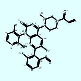 C=CC(=O)N1CCN(c2nc(=O)n(-c3c(C)ccnc3C(C)C)c3nc(-c4c(F)cccc4C=C)c(F)cc23)[C@@H](C)C1